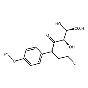 CC(C)Oc1ccc(N(CCCl)C(=O)[C@H](O)[C@@H](O)C(=O)O)cc1